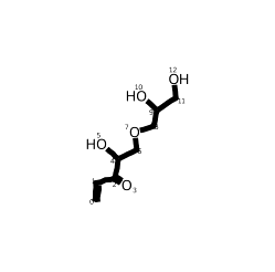 C=CC(=O)C(O)COCC(O)CO